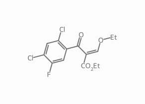 CCO/C=C(/C(=O)OCC)C(=O)c1cc(F)c(Cl)cc1Cl